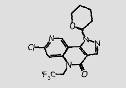 O=c1c2cnn(C3CCCCO3)c2c2cnc(Cl)cc2n1CC(F)(F)F